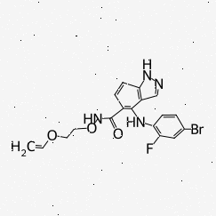 C=COCCONC(=O)c1ccc2[nH]ncc2c1Nc1ccc(Br)cc1F